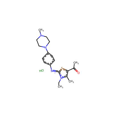 CCn1c(C)c(C(C)=O)s/c1=N\c1ccc(N2CCN(C)CC2)cc1.Cl